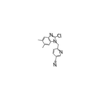 Cc1cc2nc(Cl)n(Cc3ccc(C#N)cn3)c2cc1C